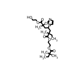 CCC(C)(C)C(=O)OCCOC(=O)C(C)(CC)CC(CC(C)(C)C(=O)OCCO)n1ccnc1